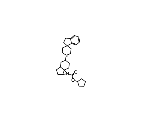 O=C(OC1CCCC1)N1C2CCC3CC(N4CCC5(CCc6ccccc65)CC4)CCC321